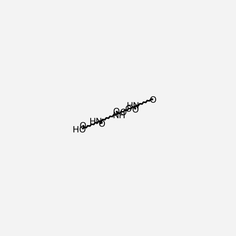 O=CCCCCCCCNC(=O)CCOCCOCCC(=O)NCCCCCCCC(=O)NCCCCCCCC(=O)O